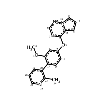 COc1cc(Oc2ncnn3cccc23)ccc1-c1cccnc1C